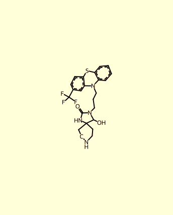 O=C1NC2(CCNCC2)C(O)N1CCCN1c2ccccc2Sc2ccc(C(F)(F)F)cc21